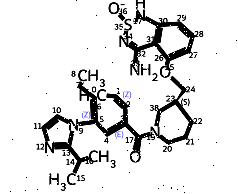 C\C=C/C(=C\C(=C\CC)n1ccnc1C(C)C)C(=O)N1CCC[C@H](COc2cccc3c2C(N)=N[S+]([O-])N3)C1